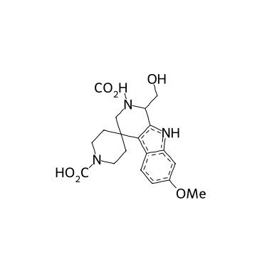 COc1ccc2c3c([nH]c2c1)C(CO)N(C(=O)O)CC31CCN(C(=O)O)CC1